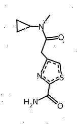 CN(C(=O)Cc1csc(C(N)=O)n1)C1CC1